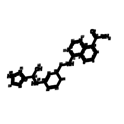 NC(=O)c1cccc2c(NCC3C=C(NC(O)c4cc[nH]n4)C=CC3)ncnc12